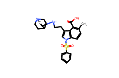 Cc1ccc2c(c(CCNC3CN4CCC3CC4)cn2S(=O)(=O)c2ccccc2)c1C(=O)O